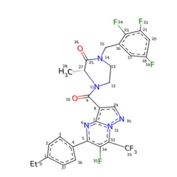 CCc1ccc(-c2nc3c(C(=O)N4CCN(Cc5cc(F)cc(F)c5F)C(=O)[C@H]4C)cnn3c(C(F)(F)F)c2F)cc1